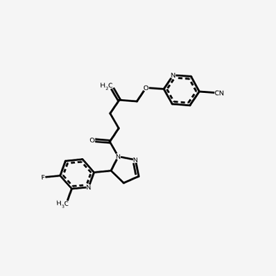 C=C(CCC(=O)N1N=CCC1c1ccc(F)c(C)n1)COc1ccc(C#N)cn1